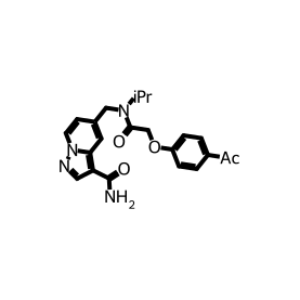 CC(=O)c1ccc(OCC(=O)N(Cc2ccn3ncc(C(N)=O)c3c2)C(C)C)cc1